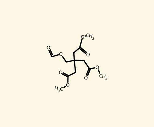 COC(=O)CC(COC=O)(CC(=O)OC)CC(=O)OC